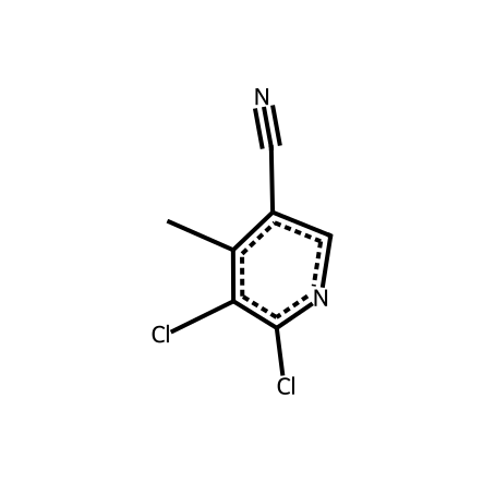 Cc1c(C#N)cnc(Cl)c1Cl